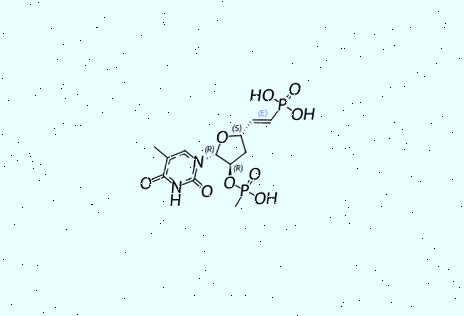 Cc1cn([C@@H]2O[C@H](/C=C/P(=O)(O)O)C[C@H]2OP(C)(=O)O)c(=O)[nH]c1=O